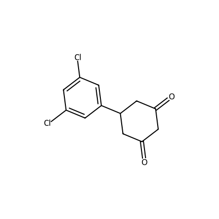 O=C1CC(=O)CC(c2cc(Cl)cc(Cl)c2)C1